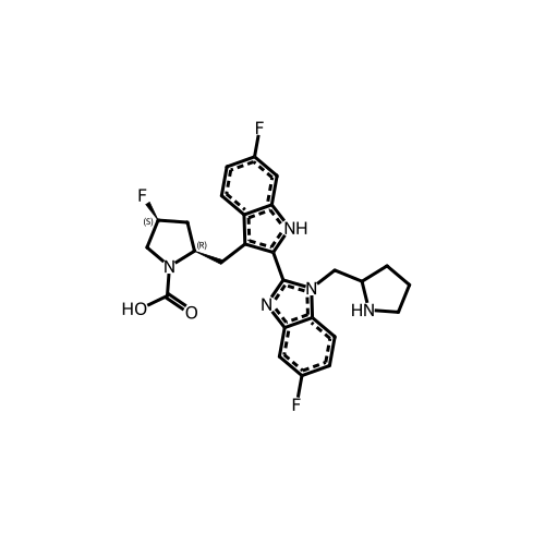 O=C(O)N1C[C@@H](F)C[C@H]1Cc1c(-c2nc3cc(F)ccc3n2CC2CCCN2)[nH]c2cc(F)ccc12